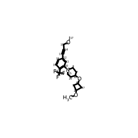 COC1CC(OC2CCN(c3cc(C#CCOI)ccc3C(F)(F)F)CC2)C1